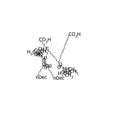 CC1(C)OCC(C)(C)[C@H](C(=O)NCCC(=O)OCC(CCCCCCCCCCCCCCCCCCC(=O)O)CCCCCCCCCCCCCCCCCC(=O)O)O1.CCCCCCCCCCCCCCCCCC(=O)OCC(COC(=O)CCNC(=O)[C@@H]1OC(C)(C)OCC1(C)C)OC(=O)CCCCCCCCCCCCCCCCC